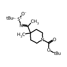 C/C(=N\[S@@+]([O-])C(C)(C)C)C1(C)CCN(C(=O)OC(C)(C)C)CC1